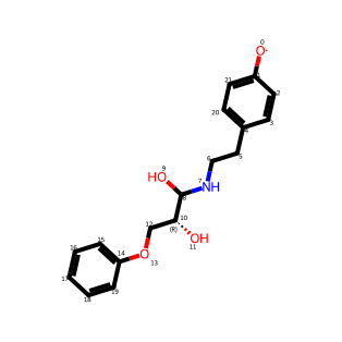 [O]c1ccc(CCNC(O)[C@H](O)COc2ccccc2)cc1